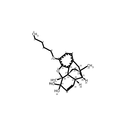 CCCCCOc1ccc2c3c1O[C@@]1(C)C(O)(O)C=C[C@H]4[C@@H](C2)N(C)CC[C@@]341